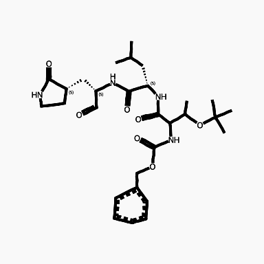 CC(C)C[C@H](NC(=O)C(NC(=O)OCc1ccccc1)C(C)OC(C)(C)C)C(=O)N[C@H](C=O)C[C@@H]1CCNC1=O